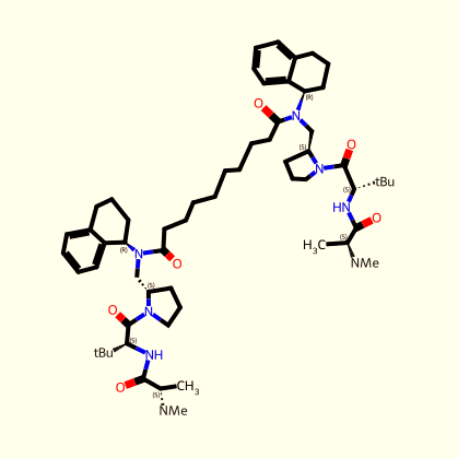 CN[C@@H](C)C(=O)N[C@H](C(=O)N1CCC[C@H]1CN(C(=O)CCCCCCCCC(=O)N(C[C@@H]1CCCN1C(=O)[C@@H](NC(=O)[C@H](C)NC)C(C)(C)C)[C@@H]1CCCc2ccccc21)[C@@H]1CCCc2ccccc21)C(C)(C)C